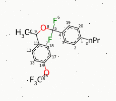 CCCc1ccc(C(F)(F)OC(C)c2ccc(OC(F)(F)F)cc2)cc1